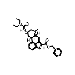 CCN(CC)C(=O)N[C@H]1C[C@@H]2c3cccc4[nH]c(C(=O)OCc5ccccc5)c(c34)C[C@H]2N(C)C1